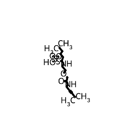 CC(C)C#CCNC(=O)COCCNC(CCCC(C)C)SS(=O)(=O)O